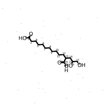 O=C(O)CCCCCCCCCCC(CC(O)CO)C(=O)O